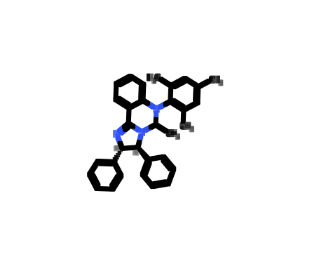 Cc1cc(C)c(N2c3ccccc3C3=N[C@@H](c4ccccc4)[C@H](c4ccccc4)N3C2C)c(C)c1